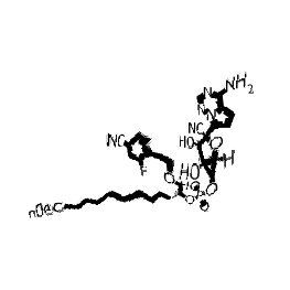 CCCCCCCCCCCCCCCCCCC[C@H](COCc1ccc(C#N)cc1F)OP(=O)(O)OC1[C@H]2O[C@@](C#N)(c3ccc4c(N)ncnn34)[C@H](O)[C@@]12O